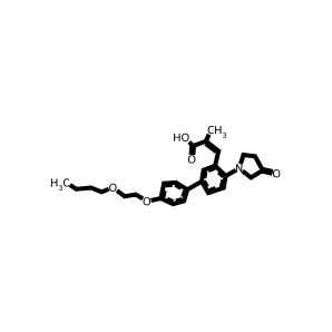 CCCCOCCOc1ccc(-c2ccc(N3CCC(=O)C3)c(C=C(C)C(=O)O)c2)cc1